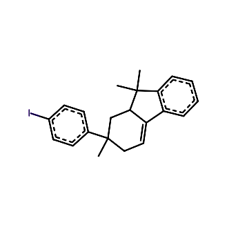 CC1(c2ccc(I)cc2)CC=C2c3ccccc3C(C)(C)C2C1